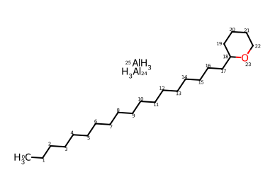 CCCCCCCCCCCCCCCCCCC1CCCCO1.[AlH3].[AlH3]